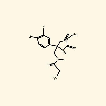 C=CCC(CN(C)C(=O)CC(F)(F)F)(c1ccc(Cl)c(Cl)c1)N(C)C(=O)OC(C)(C)C